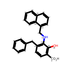 O=C(O)c1ccc(Cc2ccccc2)c(NCc2cccc3ccccc23)c1O